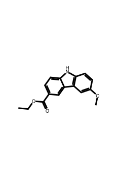 CCOC(=O)c1ccc2[nH]c3ccc(OC)cc3c2c1